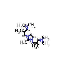 C=C1N(CC(C)CN(C)C)CCN1CC(C)CN(C)C